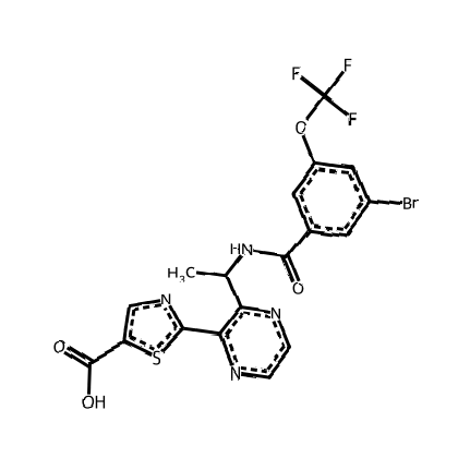 CC(NC(=O)c1cc(Br)cc(OC(F)(F)F)c1)c1nccnc1-c1ncc(C(=O)O)s1